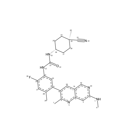 CNc1cc2nc(C)c(-c3cc(NC(=O)N[C@H]4CC[C@](C)(C#N)CC4)c(F)cc3C)cc2cn1